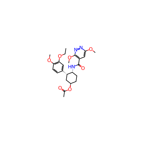 CCOc1cc([C@H]2C[C@H](OC(C)=O)CC[C@H]2NC(=O)c2cc(OC)nnc2OC)ccc1OC